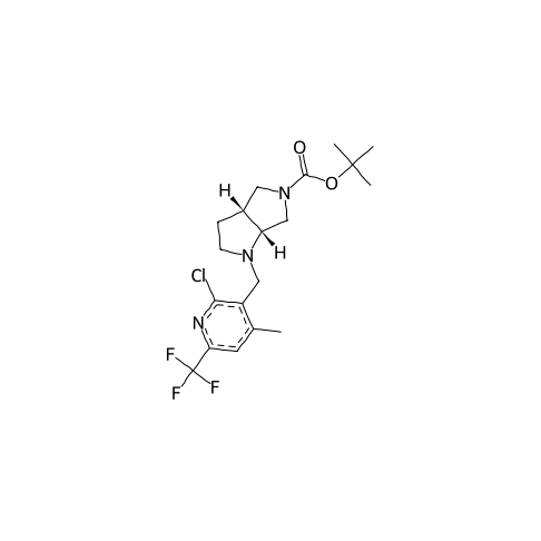 Cc1cc(C(F)(F)F)nc(Cl)c1CN1CC[C@@H]2CN(C(=O)OC(C)(C)C)C[C@@H]21